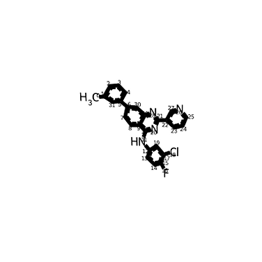 Cc1cccc(-c2ccc3c(Nc4ccc(F)c(Cl)c4)nc(-c4cccnc4)nc3c2)c1